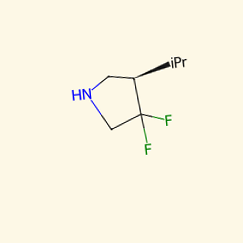 CC(C)[C@@H]1CNCC1(F)F